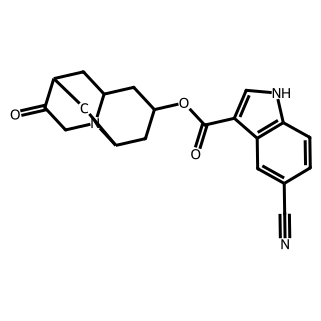 N#Cc1ccc2[nH]cc(C(=O)OC3CC4CC5CC(C3)N4CC5=O)c2c1